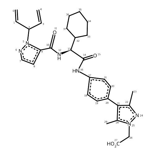 C=CC(C=C)n1nccc1C(=O)N[C@H](C(=O)Nc1ccc(-c2c(C)nn(CC(=O)O)c2C)cc1)C1CCCCC1